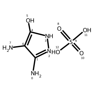 Nc1n[nH]c(O)c1N.O=S(=O)(O)O